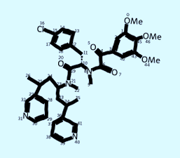 COc1cc(C(=O)C(=O)N(C)[C@@H](Cc2ccc(Cl)cc2)C(=O)N(C)C(CC(C)c2cccnc2)CC(C)c2cccnc2)cc(OC)c1OC